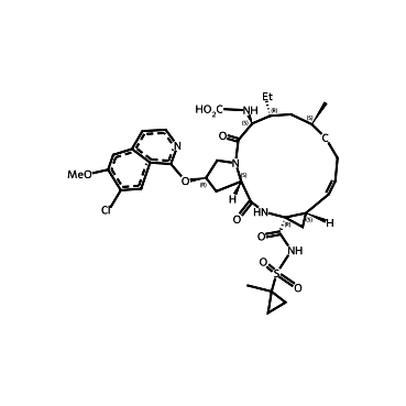 CC[C@@H]1C[C@@H](C)CCC=C[C@@H]2C[C@@]2(C(=O)NS(=O)(=O)C2(C)CC2)NC(=O)[C@@H]2C[C@@H](Oc3nccc4cc(OC)c(Cl)cc34)CN2C(=O)[C@H]1NC(=O)O